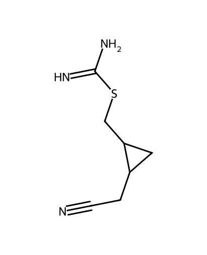 N#CCC1CC1CSC(=N)N